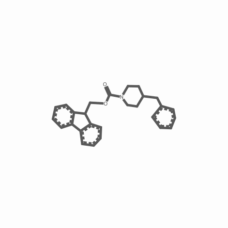 O=C(OCC1c2ccccc2-c2ccccc21)N1CCC(Cc2ccccc2)CC1